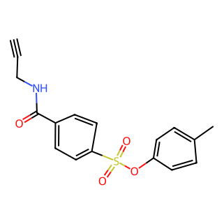 C#CCNC(=O)c1ccc(S(=O)(=O)Oc2ccc(C)cc2)cc1